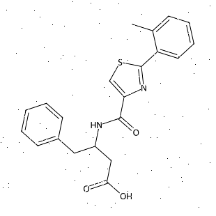 Cc1ccccc1-c1nc(C(=O)NC(CC(=O)O)Cc2ccccc2)cs1